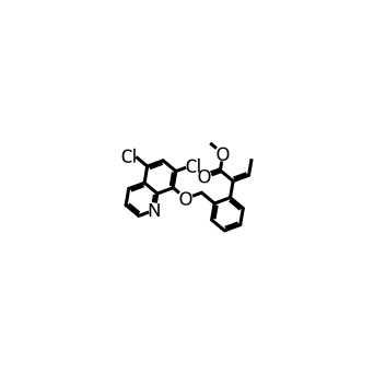 CC=C(C(=O)OC)c1ccccc1COc1c(Cl)cc(Cl)c2cccnc12